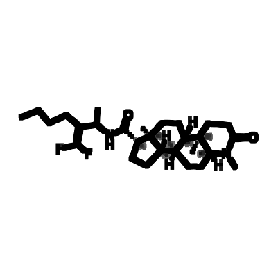 CCCCC(=C(F)F)C(C)NC(=O)[C@H]1CC[C@H]2[C@@H]3CC[C@H]4N(C)C(=O)CC[C@]4(C)[C@H]3CC[C@]12C